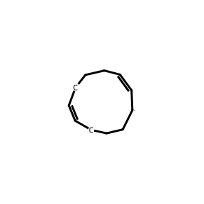 [CH]1C=CCCCC=CCCC1